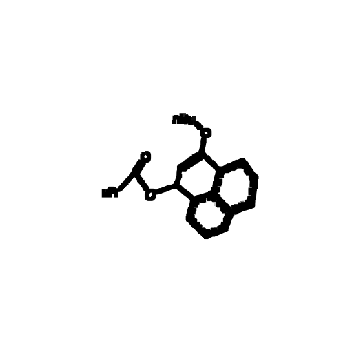 CCCCOC1=CC(OC(=O)CCC)c2cccc3cccc1c23